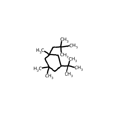 CC(C)(C)CC1(C)CC(C(C)(C)C)CC(C)(C)C1